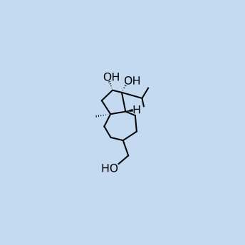 CC(C)[C@@]1(O)[C@@H]2CCC(CO)CC[C@@]2(C)C[C@@H]1O